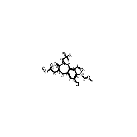 COCn1ncc2c3c(cc(Cl)c21)CC(CC(=O)OC)C(=O)N(CC(F)(F)F)C3